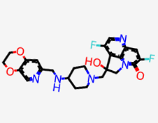 O=c1c(F)cc2ncc(F)c3c2n1CC3(O)CN1CCC(NCc2cc3c(cn2)OCCO3)CC1